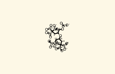 O=[N+]([O-])OCC(CC([N+](=O)[O-])([N+](=O)[O-])[N+](=O)[O-])OC(CO[N+](=O)[O-])CC([N+](=O)[O-])([N+](=O)[O-])[N+](=O)[O-]